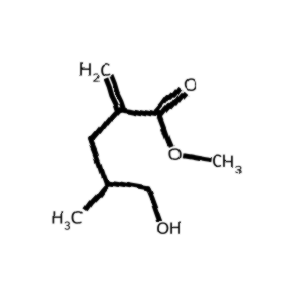 C=C(CC(C)CO)C(=O)OC